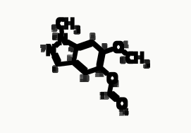 COc1cc2c(cnn2C)cc1OC=O